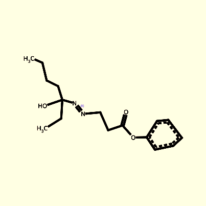 CCCCC(O)(CC)/N=N/CCC(=O)Oc1ccccc1